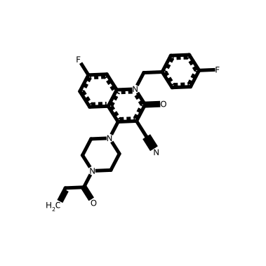 C=CC(=O)N1CCN(c2c(C#N)c(=O)n(Cc3ccc(F)cc3)c3cc(F)ccc23)CC1